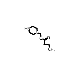 CCCC(=O)OCN1CCNCC1